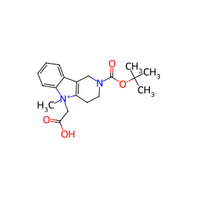 CC(C)(C)OC(=O)N1CCC2=C(C1)c1ccccc1[N+]2(C)CC(=O)O